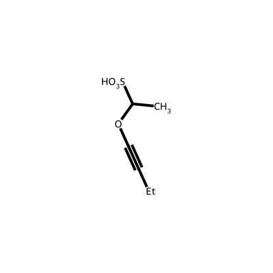 CCC#COC(C)S(=O)(=O)O